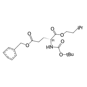 CC(C)CCOC(=O)[C@@H](CCC(=O)OCc1ccccc1)NC(=O)OC(C)(C)C